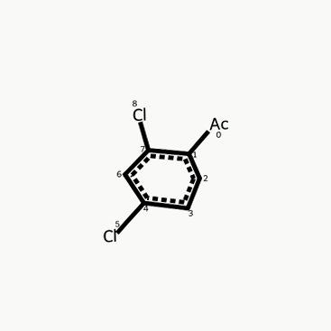 [CH2]C(=O)c1ccc(Cl)cc1Cl